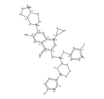 Cc1ccc(N2CCCC(N(Cc3ccnc(C)c3)Cc3cn(C4CC4)c4cc(N5CCC6NCCC6C5)c(F)cc4c3=O)C2)cn1